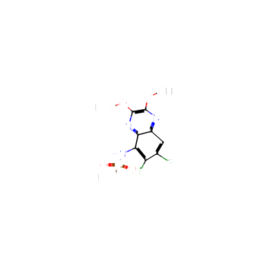 COc1nc2cc(F)c(Cl)c(NS(C)(=O)=O)c2nc1OC